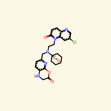 O=C1CNc2ccc(CN(CCn3c(=O)ccc4ncc(Cl)cc43)C34CCC(CC3)OC4)nc2O1